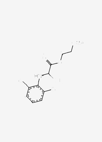 CCc1cccc(Cl)c1NC(C)C(=O)OCCOC